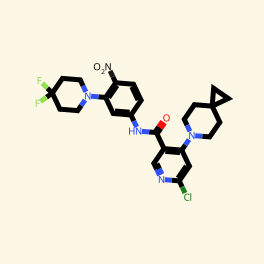 O=C(Nc1ccc([N+](=O)[O-])c(N2CCC(F)(F)CC2)c1)c1cnc(Cl)cc1N1CCC2(CC1)CC2